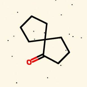 O=C1CCCC12CCCC2